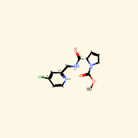 CC(C)(C)OC(=O)N1CC=C[C@H]1C(=O)NCc1cc(Cl)ccn1